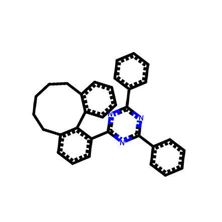 c1ccc(-c2nc(-c3ccccc3)nc(-c3cccc4c3-c3ccccc3CCCCC4)n2)cc1